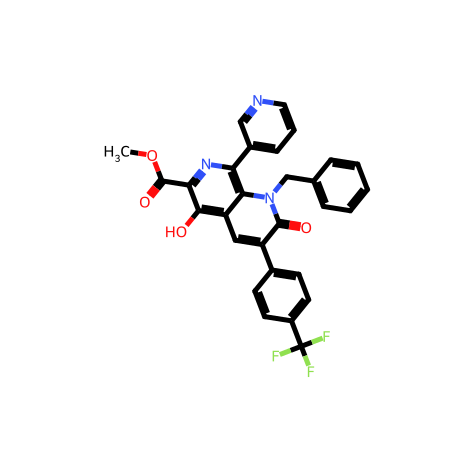 COC(=O)c1nc(-c2cccnc2)c2c(cc(-c3ccc(C(F)(F)F)cc3)c(=O)n2Cc2ccccc2)c1O